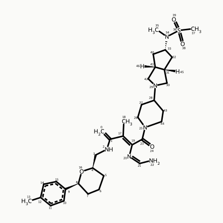 C=C(NC[C@H]1CCC[C@@H](c2ccc(C)cc2)O1)/C(C)=C(\N=C/N)C(=O)N1CCC(N2C[C@H]3C[C@@H](N(C)S(C)(=O)=O)C[C@H]3C2)CC1